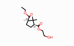 CCOC(=O)[C@]1(C)CC[C@H](C(=O)OCCO)C1(C)C